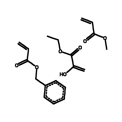 C=C(O)C(=O)OCC.C=CC(=O)OC.C=CC(=O)OCc1ccccc1